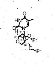 Cc1cn([C@@H]2O[C@@]3(COC(C)C)CO[C@@H]2[C@@H]3OC(C)C)c(=O)[nH]c1=O